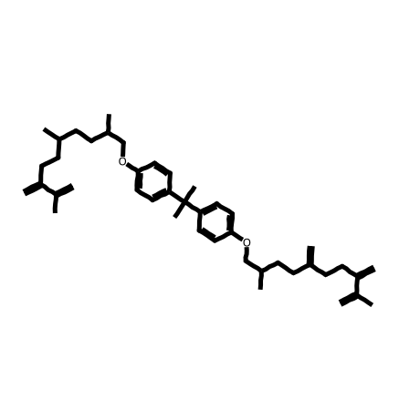 C=C(CCC(=C)C(=C)C)CCC(C)COc1ccc(C(C)(C)c2ccc(OCC(C)CCC(C)CCC(=C)C(=C)C)cc2)cc1